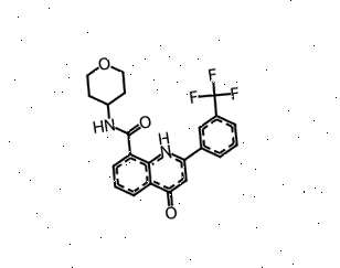 O=C(NC1CCOCC1)c1cccc2c(=O)cc(-c3cccc(C(F)(F)F)c3)[nH]c12